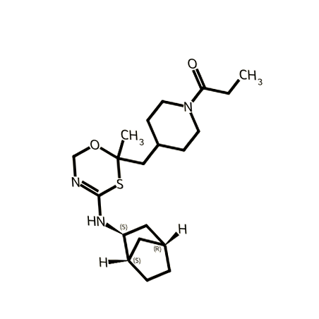 CCC(=O)N1CCC(CC2(C)OCN=C(N[C@H]3C[C@@H]4CC[C@H]3C4)S2)CC1